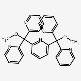 COC(c1ccccn1)(c1ccccn1)c1cccc(C(OC)(c2ccccn2)c2ccccn2)n1